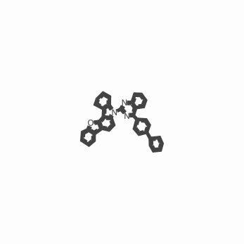 c1ccc(-c2ccc(-c3nc(-n4c5ccccc5c5c6oc7ccccc7c6ccc54)nc4ccccc34)cc2)cc1